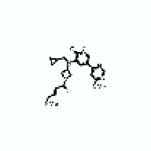 CNCC=CC(=O)N1CC(N(CC2CC2)c2cc(-c3cc(NC)ncn3)c[nH]c2=O)C1